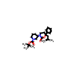 C=C(C)CC1(c2ccccc2)CCN(C2CCCN(C(=O)OC(C)(C)C)C2)C(=O)O1